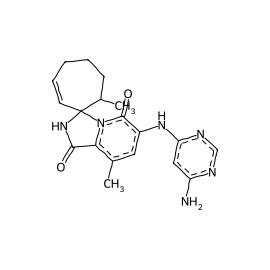 Cc1cc(Nc2cc(N)ncn2)c(=O)n2c1C(=O)NC21C=CCCCC1C